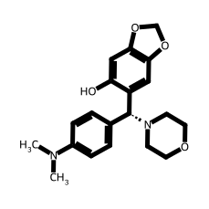 CN(C)c1ccc([C@H](c2cc3c(cc2O)OCO3)N2CCOCC2)cc1